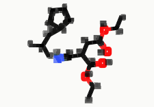 CC(C)c1c2cccc1-2.CCOC(=O)CC(C#N)C(=O)OCC